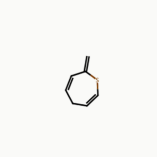 C=C1C=CCC=CS1